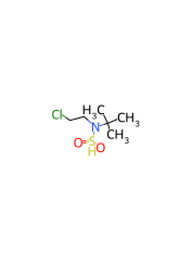 CC(C)(C)N(CCCl)[SH](=O)=O